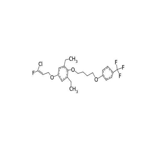 CCc1cc(OCC=C(F)Cl)cc(CC)c1OCCCCOc1ccc(C(F)(F)F)cc1